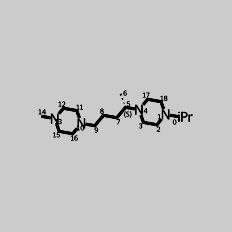 CC(C)N1CCN([C@@H](C)CCCN2CCN(C)CC2)CC1